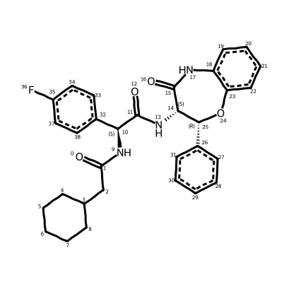 O=C(CC1CCCCC1)N[C@H](C(=O)N[C@@H]1C(=O)Nc2ccccc2O[C@@H]1c1ccccc1)c1ccc(F)cc1